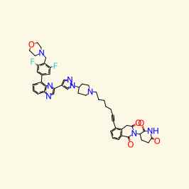 O=C1CCC(N2C(=O)Cc3c(C#CCCCCCN4CCC(n5cc(-c6cnc7cccc(-c8cc(F)c(CN9CCOCC9)c(F)c8)c7n6)cn5)CC4)cccc3C2=O)C(=O)N1